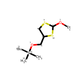 CCOC1SCC(CO[Si](C)(C)C(C)(C)C)S1